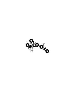 O=S(=O)(NC1Cc2cc(-c3ccc(OCc4ccccc4)c(F)c3)ccc2N(Cc2ccccc2)C1)c1ccccc1